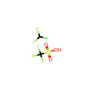 FC(F)F.O=S(=O)(O)C(F)(F)F